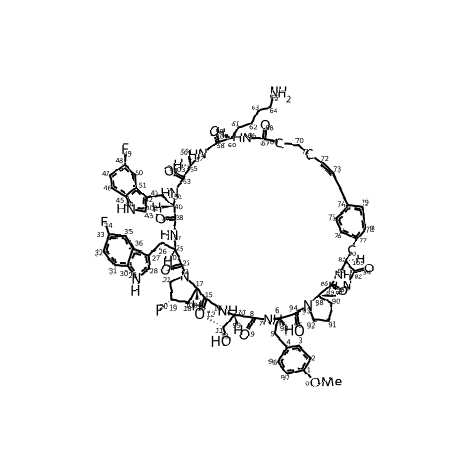 COc1ccc(C[C@@H]2NC(=O)[C@H]([C@@H](C)O)NC(=O)[C@@H]3C[C@H](F)CN3C(=O)[C@H](Cc3c[nH]c4ccc(F)cc34)NC(=O)[C@H](Cc3c[nH]c4ccc(F)cc34)NC(=O)[C@@H](C)NC(=O)[C@H](CCCCN)NC(=O)CCC/C=C\c3ccc(cc3)C[C@@H](C(N)=O)NC(=O)[C@]3(C)CCCN3C2=O)cc1